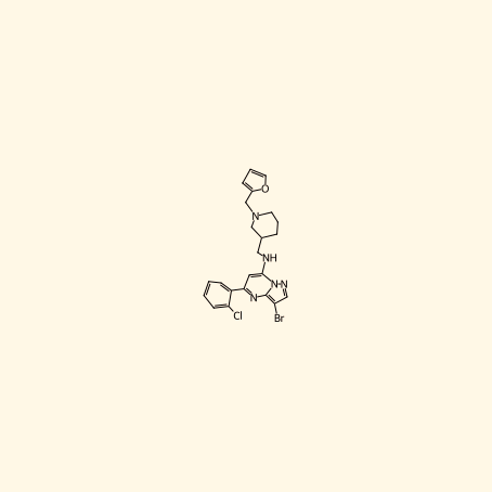 Clc1ccccc1-c1cc(NCC2CCCN(Cc3ccco3)C2)n2ncc(Br)c2n1